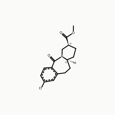 COC(=O)[C@H]1CC[C@H]2CCc3cc(Cl)ccc3C(=O)N2C1